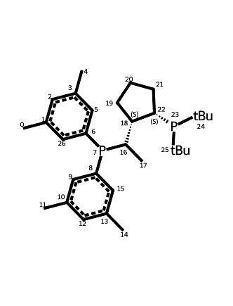 Cc1cc(C)cc(P(c2cc(C)cc(C)c2)C(C)[C@@H]2CCC[C@@H]2P(C(C)(C)C)C(C)(C)C)c1